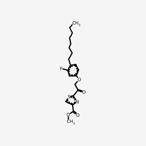 CCCCCCCCc1ccc(OCC(=O)c2nc(C(=O)OC)cs2)cc1F